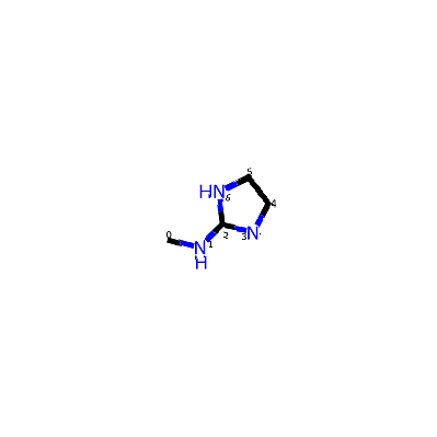 CNC1[N]CCN1